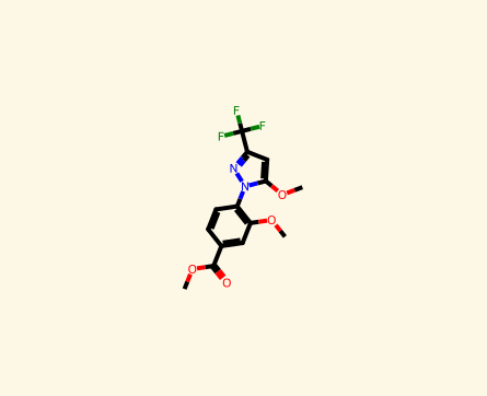 COC(=O)c1ccc(-n2nc(C(F)(F)F)cc2OC)c(OC)c1